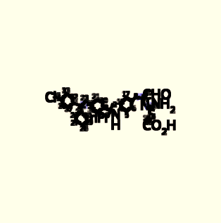 CCCC(C)(Nc1ccc(/C=C(C=O)\N=C(/N)SCC(=O)O)cc1)c1ccc(/C=C(\c2ccccc2)c2ccc(Cl)cc2)cc1